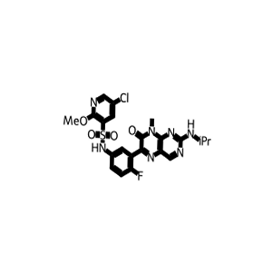 COc1ncc(Cl)cc1S(=O)(=O)Nc1ccc(F)c(-c2nc3cnc(NC(C)C)nc3n(C)c2=O)c1